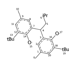 Cc1cc(C(CC(C)C)c2cc(C)cc(C(C)(C)C)c2[O])c([O])c(C(C)(C)C)c1